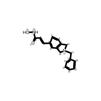 O=C(C=Cc1ccc2c(c1)CN(Cc1ccccc1)C2)NO